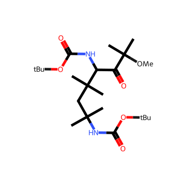 COC(C)(C)C(=O)C(NC(=O)OC(C)(C)C)C(C)(C)CC(C)(C)NC(=O)OC(C)(C)C